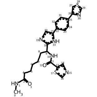 CNC(=O)CCCCCC(NC(=O)c1cncs1)c1ncc(-c2ccc(-c3cscn3)cc2)[nH]1